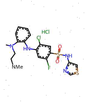 CNCCN(C)c1ccccc1Nc1cc(F)c(S(=O)(=O)Nc2cscn2)cc1Cl.Cl